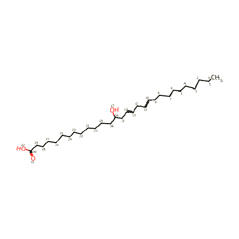 CCCCCCCCCCC=CCC=CCC(O)CCCCCCCCCCCCC(=O)O